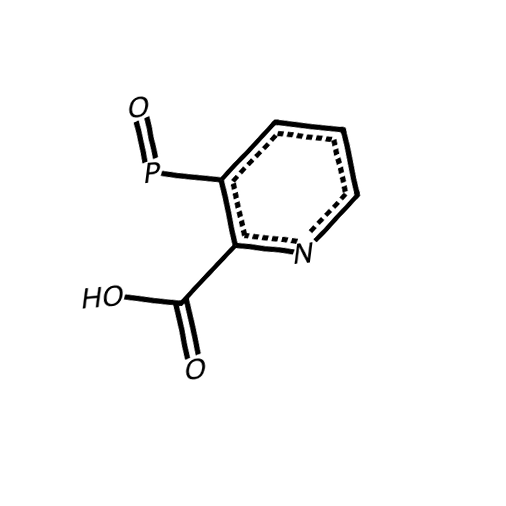 O=Pc1cccnc1C(=O)O